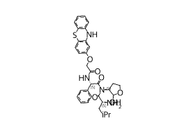 CC(C)C[C@H](N)C(=O)N(C(=O)[C@@H](NC(=O)COc1ccc2c(c1)Nc1ccccc1S2)c1ccccc1)[C@H]1CCOC1O